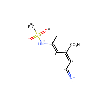 C/C(=C\C(=C/C=N)C(=O)O)NS(=O)(=O)C(F)(F)F